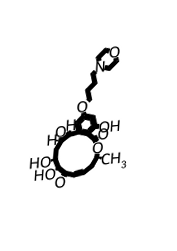 C[C@H]1C/C=C\C(=O)[C@@H](O)[C@@H](O)C[C@H]2O[C@@H]2c2cc(OCCCCN3CCOCC3)cc(O)c2C(=O)O1